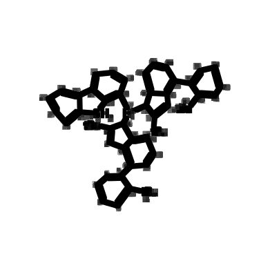 CC(C)(C)C1=Cc2c(-c3ccccc3C(C)(C)C)cccc2[CH]1[Hf]([c]1cccc2c1[SiH2]c1ccccc1-2)[CH]1C(C(C)(C)C)=Cc2c(-c3ccccc3C(C)(C)C)cccc21